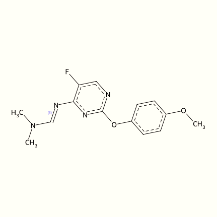 COc1ccc(Oc2ncc(F)c(/N=C/N(C)C)n2)cc1